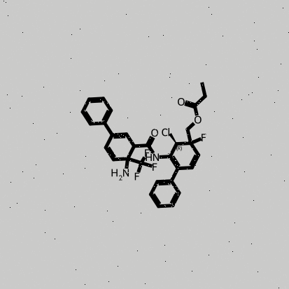 CCC(=O)OCC1(F)C=CC(c2ccccc2)=C(NC(=O)C2C=C(c3ccccc3)C=CC2(N)C(F)(F)F)[C@H]1Cl